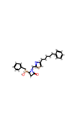 O=C1CC([S+]([O-])Cc2ccccc2)N1Cc1nc(CCCCCc2ccccc2)cs1